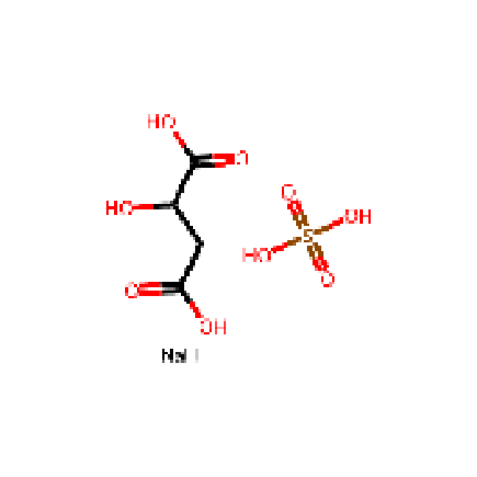 O=C(O)CC(O)C(=O)O.O=S(=O)(O)O.[NaH]